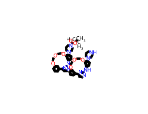 CC(C)(C)OC(=O)N1CCCN(c2ccc3cc2OCCOCCOc2cccc(c2)-c2ccnc(n2)N3C2COCCOc3cc(ccc3N3CCCNCC3)Nc3nccc(n3)-c3cccc(c3)O2)CC1